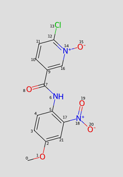 COc1ccc(NC(=O)c2ccc(Cl)[n+]([O-])c2)c([N+](=O)[O-])c1